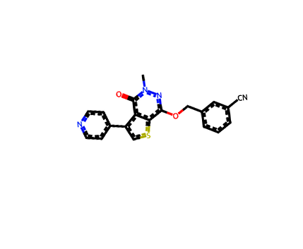 Cn1nc(OCc2cccc(C#N)c2)c2scc(-c3ccncc3)c2c1=O